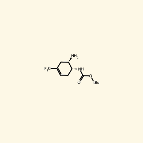 CC(C)(C)OC(=O)N[C@@H]1CC=C(C(F)(F)F)C[C@H]1N